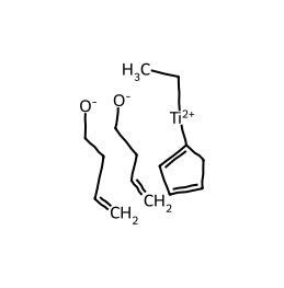 C=CCC[O-].C=CCC[O-].C[CH2][Ti+2][C]1=CC=CC1